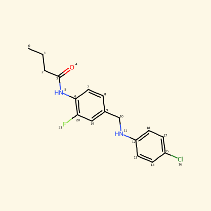 CCCC(=O)Nc1ccc(CNc2ccc(Cl)cc2)cc1F